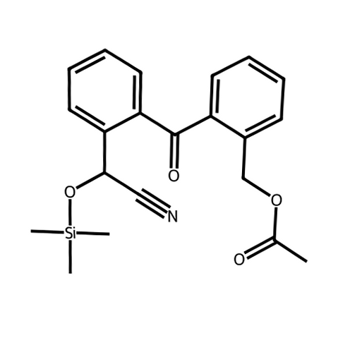 CC(=O)OCc1ccccc1C(=O)c1ccccc1C(C#N)O[Si](C)(C)C